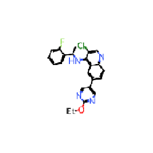 CCOc1ncc(-c2ccc3ncc(Cl)c(NC(C)c4ccccc4F)c3c2)cn1